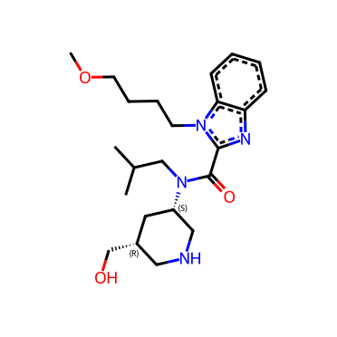 COCCCCn1c(C(=O)N(CC(C)C)[C@@H]2CNC[C@H](CO)C2)nc2ccccc21